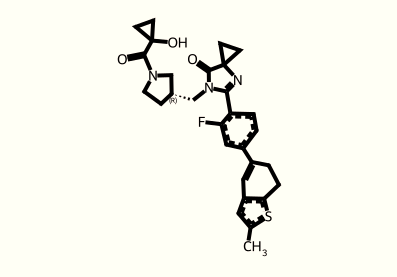 Cc1cc2c(s1)CCC(c1ccc(C3=NC4(CC4)C(=O)N3C[C@@H]3CCN(C(=O)C4(O)CC4)C3)c(F)c1)=C2